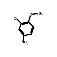 CCCCOc1ccc([N+](=O)[O-])cc1Cl